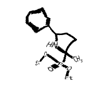 CCOP(=O)(OCC)C1(C)CCC(c2ccccc2)N1